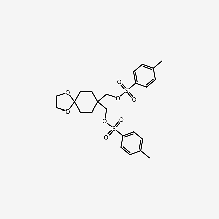 Cc1ccc(S(=O)(=O)OCC2(COS(=O)(=O)c3ccc(C)cc3)CCC3(CC2)OCCO3)cc1